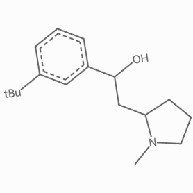 CN1CCCC1CC(O)c1cccc(C(C)(C)C)c1